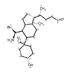 CC[C@H](C)[C@H](N)C1C2CC[C@H]([C@H](C)CCC=O)[C@@]2(C)CCC1[C@]1(C)CC[C@H](O)CC1